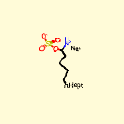 CCCCCCCCCCCC(N)OS(=O)(=O)[O-].[Na+]